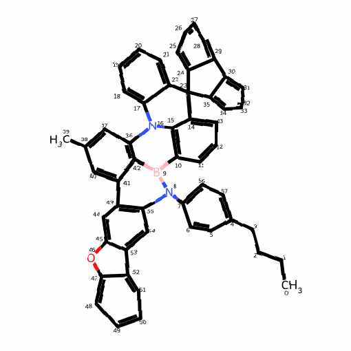 CCCCc1ccc(N2B3c4cccc5c4N(c4ccccc4C54c5ccccc5-c5ccccc54)c4cc(C)cc(c43)-c3cc4oc5ccccc5c4cc32)cc1